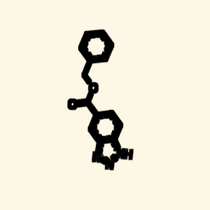 O=C(OCc1ccccc1)c1ccc2[nH]nnc2c1